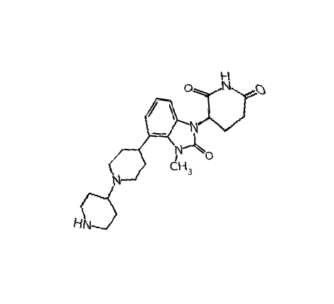 Cn1c(=O)n(C2CCC(=O)NC2=O)c2cccc(C3CCN(C4CCNCC4)CC3)c21